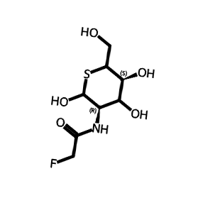 O=C(CF)N[C@H]1C(O)SC(CO)[C@@H](O)C1O